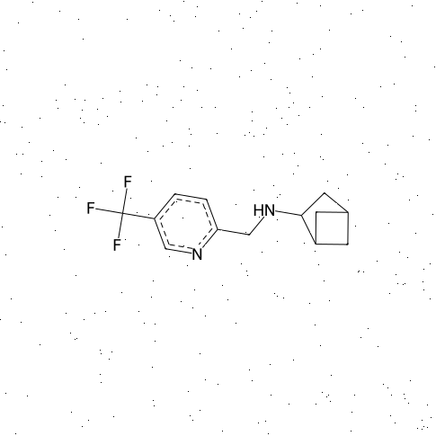 FC(F)(F)c1ccc(CNC2CC3CC2C3)nc1